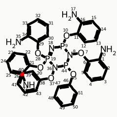 Nc1ccccc1ON1P(Oc2ccccc2N)N=P(Oc2ccccc2N)(Oc2ccccc2N)N(Oc2ccccc2)P1Oc1ccccc1